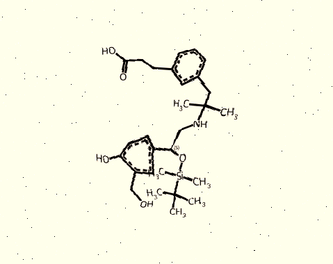 CC(C)(Cc1cccc(CCC(=O)O)c1)NC[C@@H](O[Si](C)(C)C(C)(C)C)c1ccc(O)c(CO)c1